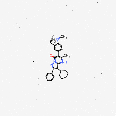 C=Nc1ccc(-c2c(C)[nH]c3c(C4CCCCC4)c(-c4ccccc4)nn3c2=O)cc1/C=C\C